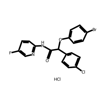 Cl.O=C(Nc1ccc(F)cn1)C(Oc1ccc(Br)cc1)c1ccc(Cl)cc1